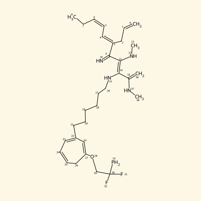 C=CC/C(=C\C=C/CC)C(=N)/C(NC)=C(\NCCCCCCC1=CC=CCC(OCC(F)(F)P)=C1)C(=C)NC